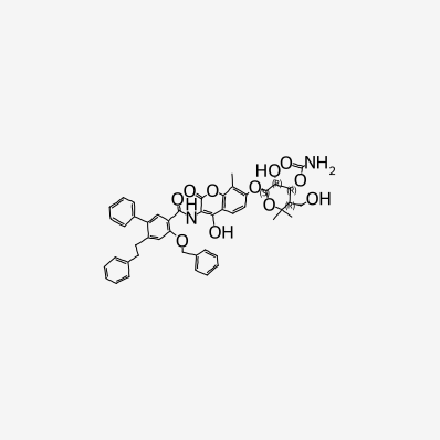 Cc1c(O[C@@H]2OC(C)(C)[C@H](CO)[C@@H](OC(N)=O)[C@H]2O)ccc2c(O)c(NC(=O)c3cc(-c4ccccc4)c(CCc4ccccc4)cc3OCc3ccccc3)c(=O)oc12